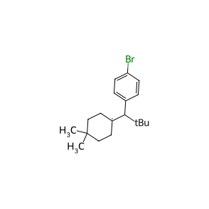 CC1(C)CC[C](C(c2ccc(Br)cc2)C(C)(C)C)CC1